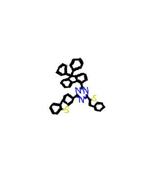 c1ccc(C2(c3ccccc3)c3ccccc3-c3c(-c4nc(-c5ccc6c(c5)sc5ccccc56)nc(-c5cc6ccccc6s5)n4)cccc32)cc1